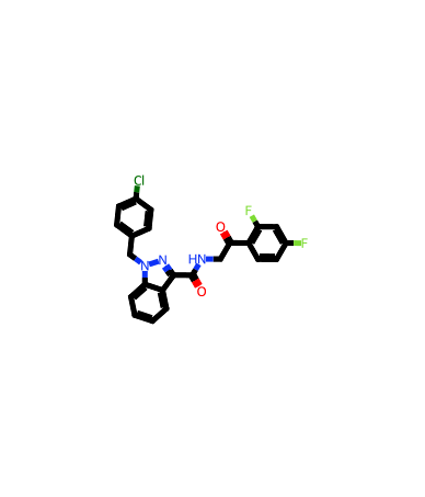 O=C(CNC(=O)c1nn(Cc2ccc(Cl)cc2)c2ccccc12)c1ccc(F)cc1F